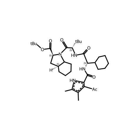 CC(=O)c1c(C(=O)N[C@H](C(=O)N[C@H](C(=O)N2C3CCCC[C@H]3C[C@H]2C(=O)OC(C)(C)C)C(C)(C)C)C2CCCCC2)[nH]c(C)c1C